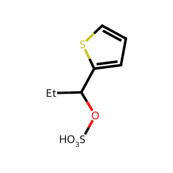 CCC(OS(=O)(=O)O)c1cccs1